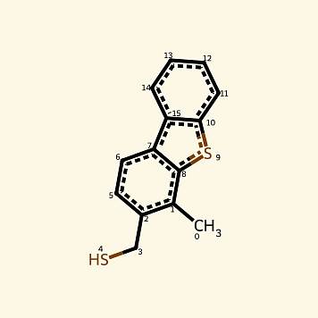 Cc1c(CS)ccc2c1sc1ccccc12